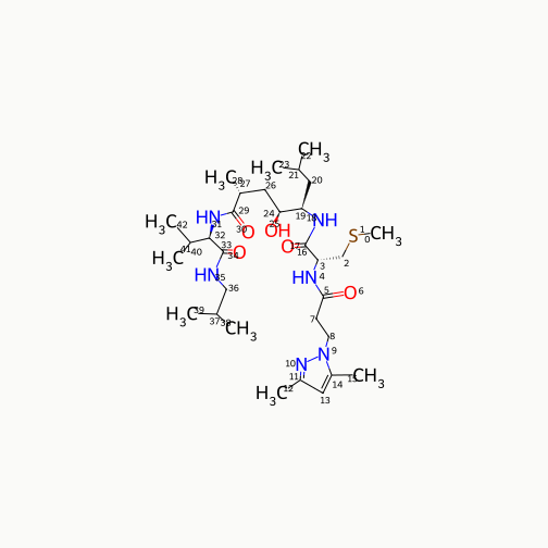 CSC[C@H](NC(=O)CCn1nc(C)cc1C)C(=O)N[C@H](CC(C)C)[C@@H](O)C[C@@H](C)C(=O)N[C@@H](C(=O)NCC(C)C)C(C)C